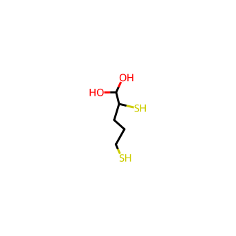 OC(O)C(S)CCCS